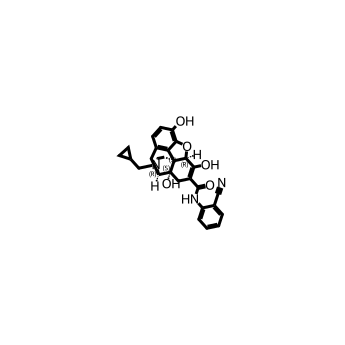 N#Cc1ccccc1NC(=O)C1=C(O)[C@@H]2Oc3c(O)ccc4c3[C@@]23CCN(CC2CC2)[C@H](C4)[C@]3(O)C1